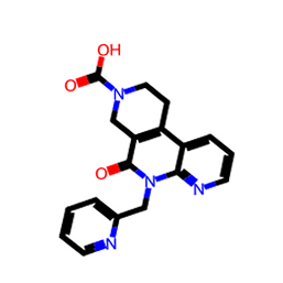 O=C(O)N1CCc2c(c(=O)n(Cc3ccccn3)c3ncccc23)C1